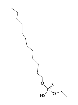 CCCCCCCCCCCCOP(=S)(S)OCC